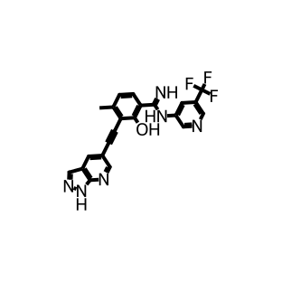 Cc1ccc(C(=N)Nc2cncc(C(F)(F)F)c2)c(O)c1C#Cc1cnc2[nH]ncc2c1